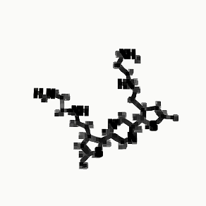 Cc1cc(CCNCCN)c(-c2cnc(-c3sc(C)cc3CCNCCN)cn2)s1